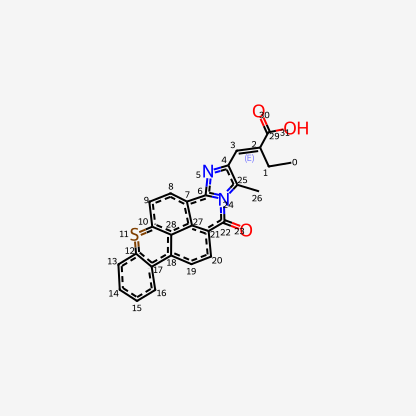 CC/C(=C\c1nc2c3ccc4sc5ccccc5c5ccc(c(=O)n2c1C)c3c45)C(=O)O